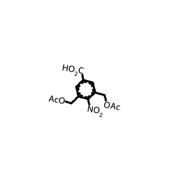 CC(=O)OCc1cc(C(=O)O)cc(COC(C)=O)c1[N+](=O)[O-]